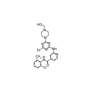 CCc1nc(Nc2cc(C(=O)Nc3c(C)cccc3Cl)ccn2)nc(N2CCN(CO)CC2)n1